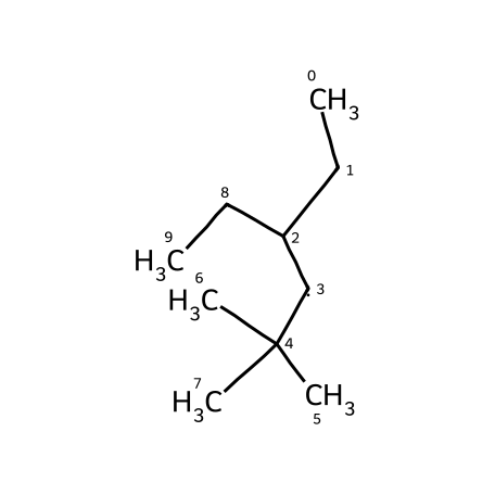 CCC([CH]C(C)(C)C)CC